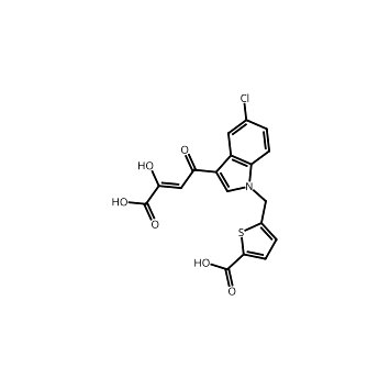 O=C(O)/C(O)=C/C(=O)c1cn(Cc2ccc(C(=O)O)s2)c2ccc(Cl)cc12